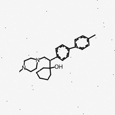 Cc1ccc(-c2ccc(C(CN3CCN(C)CC3)C3(O)CCCCC3)cc2)cc1